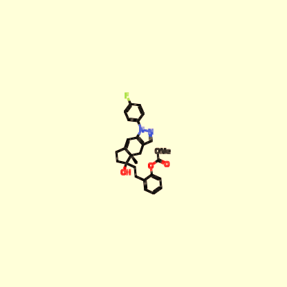 COC(=O)Oc1ccccc1CC[C@]1(O)CCC2=Cc3c(cnn3-c3ccc(F)cc3)C[C@@]21C